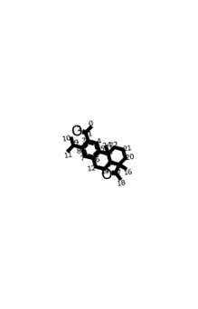 CC(=O)c1cc2c(cc1C(C)C)CCC1C(C)(C(C)=O)CCCC21C